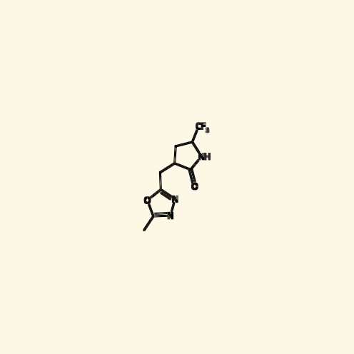 Cc1nnc(CC2CC(C(F)(F)F)NC2=O)o1